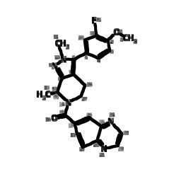 COc1ccc(-c2c3c(nn2C)[C@H](C)N(C(=O)c2ccc4nccnc4c2)CC3)cc1F